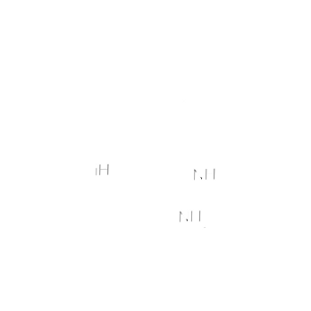 NNc1ccccc1.[LiH]